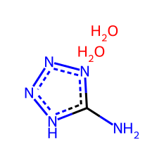 Nc1nnn[nH]1.O.O